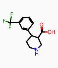 O=C(O)C1CNCCC1c1cccc(C(F)(F)F)c1